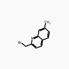 Cc1ccc2ccc(CBr)nc2c1